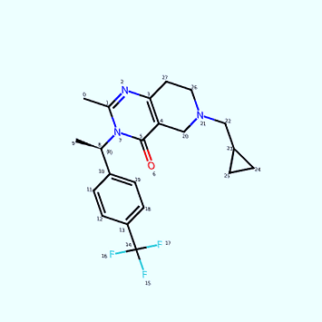 Cc1nc2c(c(=O)n1[C@H](C)c1ccc(C(F)(F)F)cc1)CN(CC1CC1)CC2